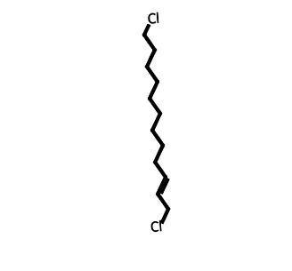 ClCC=CCCCCCCCCCCl